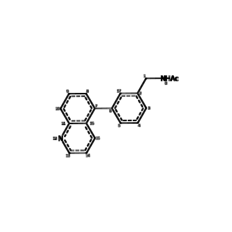 CC(=O)NCc1cccc(-c2cccc3ncccc23)c1